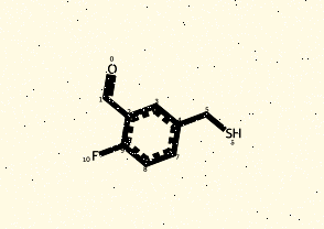 O=Cc1cc(CS)ccc1F